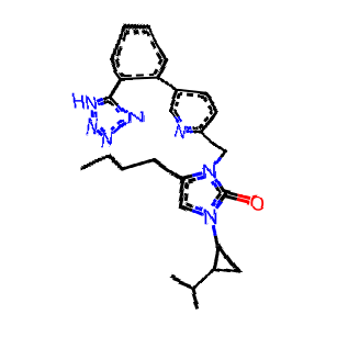 CCCCc1cn(C2CC2C(C)C)c(=O)n1Cc1ccc(-c2ccccc2-c2nnn[nH]2)cn1